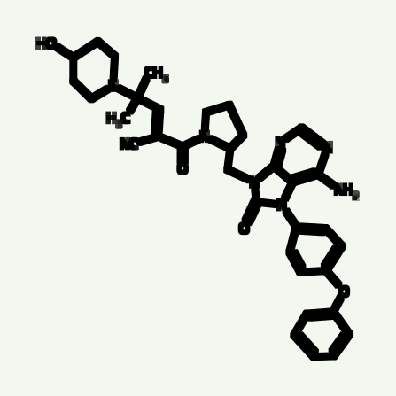 CC(C)(C=C(C#N)C(=O)N1CCCC1Cn1c(=O)n(-c2ccc(Oc3ccccc3)cc2)c2c(N)ncnc21)N1CCC(O)CC1